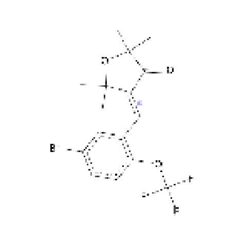 CC1(C)OC(C)(C)/C(=C\c2cc(Br)ccc2OC(F)(F)F)C1=O